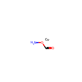 NOC=O.[Cu]